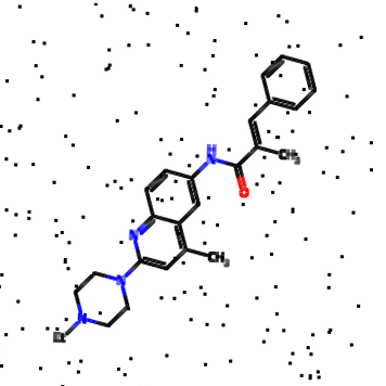 CCN1CCN(c2cc(C)c3cc(NC(=O)C(C)=Cc4ccccc4)ccc3n2)CC1